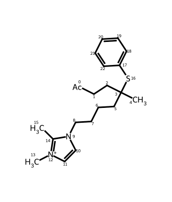 CC(=O)CCC(C)(CCCCn1cc[n+](C)c1C)Sc1ccccc1